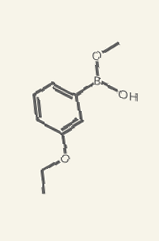 CCOc1cccc(B(O)OC)c1